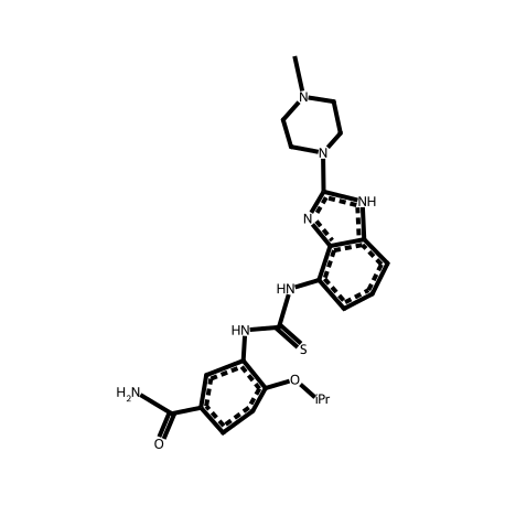 CC(C)Oc1ccc(C(N)=O)cc1NC(=S)Nc1cccc2[nH]c(N3CCN(C)CC3)nc12